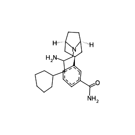 NC(=O)c1cccc([C@H]2C[C@H]3CC[C@@H](C2)N3CC(N)CC2CCCCC2)c1